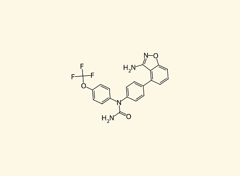 NC(=O)N(c1ccc(OC(F)(F)F)cc1)c1ccc(-c2cccc3onc(N)c23)cc1